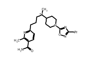 Cc1nc(CCC[C@@H](C)C2CCN(c3nc(C(C)C)no3)CC2)ccc1C(N)=O